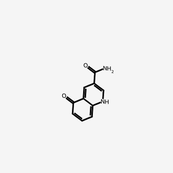 NC(=O)c1c[nH]c2cccc(=O)c-2c1